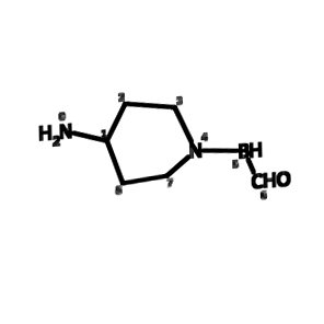 NC1CCN(BC=O)CC1